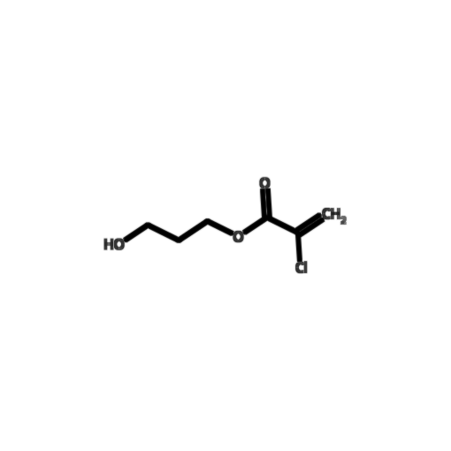 C=C(Cl)C(=O)OCCCO